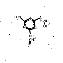 C=O.NO.Nc1nc(N)nc(N)n1